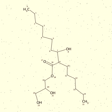 CCCCCCCC(O)C(CCCCCC)C(=O)OCC(O)CO